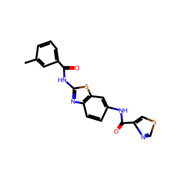 Cc1cccc(C(=O)Nc2nc3ccc(NC(=O)c4cscn4)cc3s2)c1